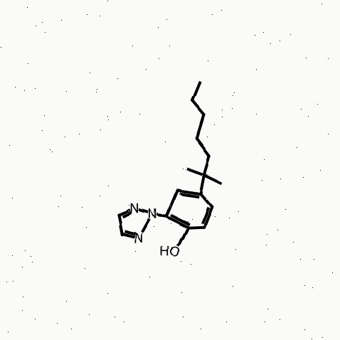 CCCCCC(C)(C)c1ccc(O)c(-n2nccn2)c1